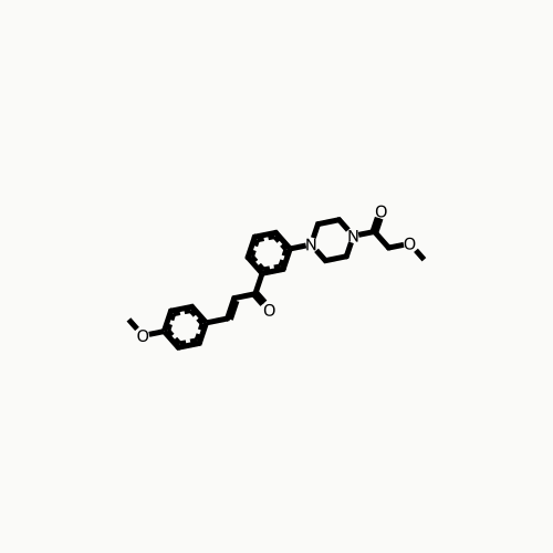 COCC(=O)N1CCN(c2cccc(C(=O)/C=C/c3ccc(OC)cc3)c2)CC1